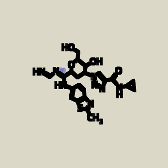 Cc1nc2ccc(N/C(=N\C=N)C3CC(n4cc(C(=O)NC5CC5)nn4)C(O)C(CO)O3)cc2s1